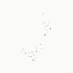 c1cc2[nH]c(CNCCCCOC3CN(c4cc(-n5cnnc5)cc5[nH]ncc45)C3)cc2cc1OC1CCC1